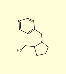 OCC1CCCN1Cc1ccncc1